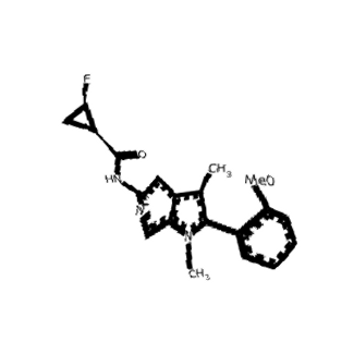 COc1ccccc1-c1c(C)c2cc(NC(=O)[C@H]3C[C@H]3F)ncc2n1C